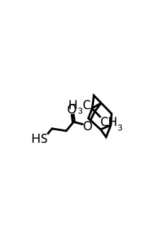 CC(C)(OC(=O)CCS)C12CC3CC3CC1C2